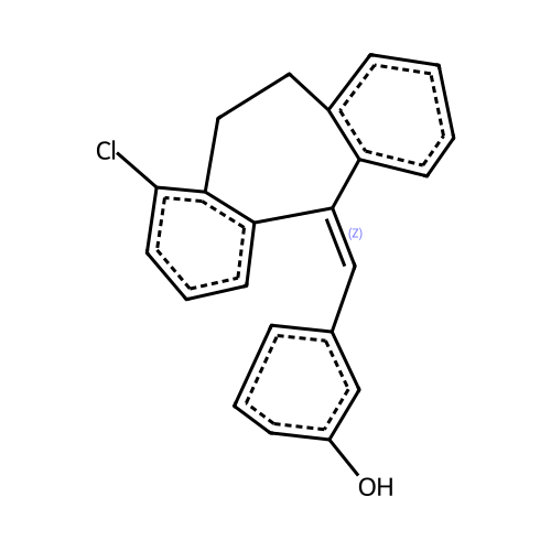 Oc1cccc(/C=C2/c3ccccc3CCc3c(Cl)cccc32)c1